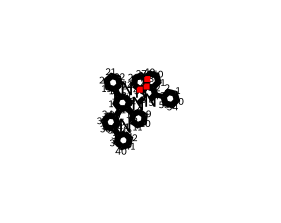 c1ccc(-c2nc(-n3c4cccc5c4c4c(cc6c7ccccc7n(-c7ccccc7)c6c43)c3cccc4c6ccccc6n5c34)nc3ccccc23)cc1